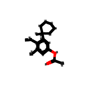 CCC(=O)Oc1cc(CC)c(OC)c(C2(C)CCCCC2)c1